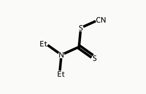 CCN(CC)C(=S)SC#N